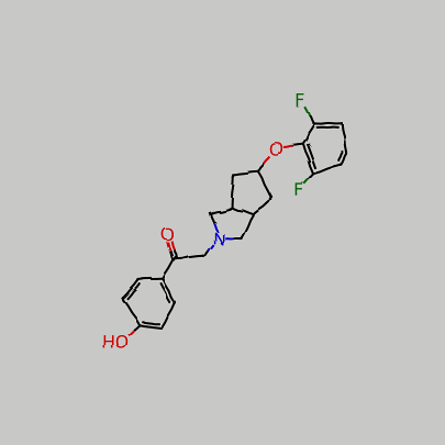 O=C(CN1CC2CC(Oc3c(F)cccc3F)CC2C1)c1ccc(O)cc1